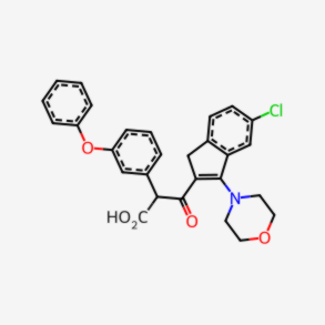 O=C(O)C(C(=O)C1=C(N2CCOCC2)c2cc(Cl)ccc2C1)c1cccc(Oc2ccccc2)c1